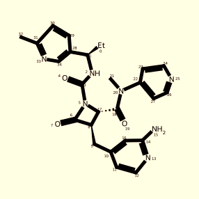 CC[C@@H](NC(=O)N1C(=O)[C@H](Cc2ccnc(N)c2)[C@H]1C(=O)N(C)c1ccncc1)c1ccc(C)nc1